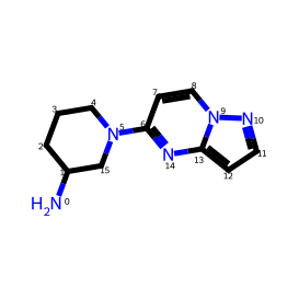 NC1CCCN(c2ccn3nccc3n2)C1